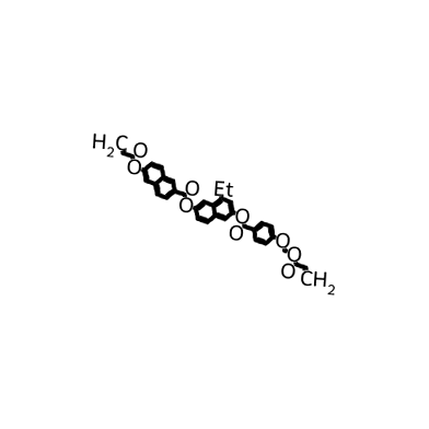 C=CC(=O)OCOc1ccc(C(=O)Oc2cc(CC)c3cc(OC(=O)c4ccc5cc(OC(=O)C=C)ccc5c4)ccc3c2)cc1